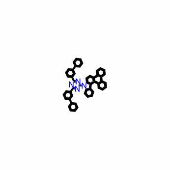 c1ccc(-c2cccc(-c3nc(-c4cccc(-c5ccccc5)c4)nc(-n4c5ccccc5c5c6c7ccccc7c7ccccc7c6ccc54)n3)c2)cc1